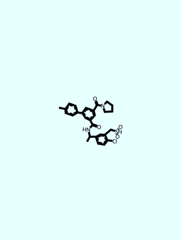 Cc1ccc(-c2cc(C(=O)NC(C)c3ccc(Cl)c(C[SH](=O)=O)c3)cc(C(=O)N3CCCC3)c2)cc1